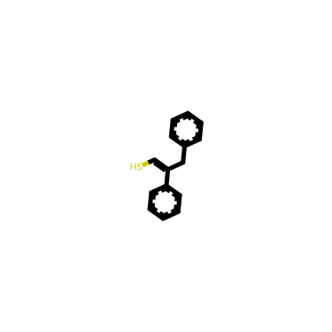 SC=C(Cc1ccccc1)c1ccccc1